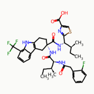 CC[C@H](C)[C@H](NC(=O)Cc1ccccc1F)C(=O)N[C@@]1(C(=O)N[C@H](c2nc(C(=O)O)cs2)[C@@H](C)CC)CCc2[nH]c3c(C(F)(F)F)cccc3c2C1